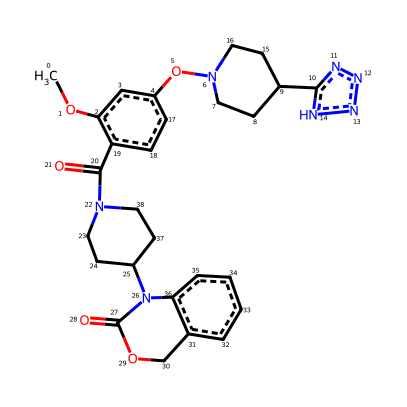 COc1cc(ON2CCC(c3nnn[nH]3)CC2)ccc1C(=O)N1CCC(N2C(=O)OCc3ccccc32)CC1